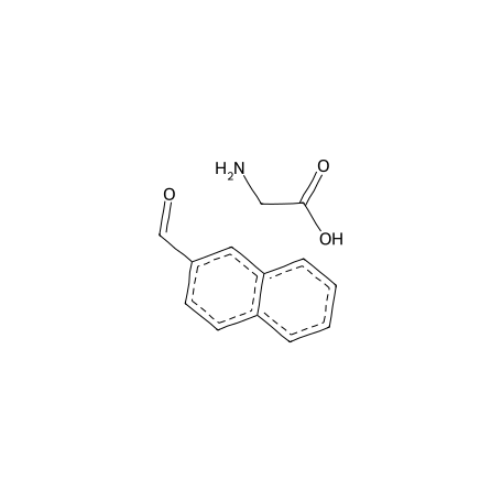 NCC(=O)O.O=Cc1ccc2ccccc2c1